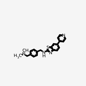 CN(C)Cc1ccc(CNc2nc3ccc(-c4ccncc4)cc3s2)cc1